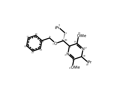 COC1=NC([C@@H](CC(C)C)OCc2ccccc2)C(OC)=NC1C(C)C